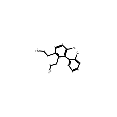 OCCc1ccc(O)c(-c2ccccc2O)c1CCO